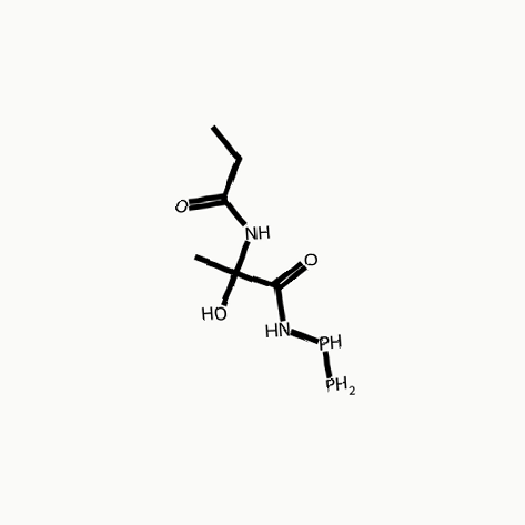 CCC(=O)NC(C)(O)C(=O)NPP